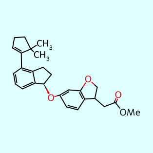 COC(=O)CC1COc2cc(O[C@@H]3CCc4c(C5=CCCC5(C)C)cccc43)ccc21